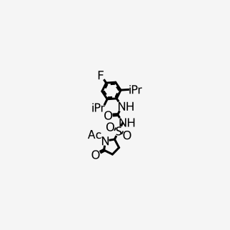 CC(=O)N1C(=O)CCC1S(=O)(=O)NC(=O)Nc1c(C(C)C)cc(F)cc1C(C)C